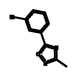 CCc1cccc(-c2nc(C)no2)c1